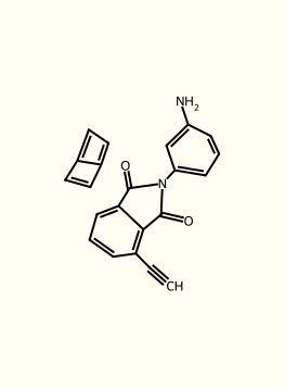 C#Cc1cccc2c1C(=O)N(c1cccc(N)c1)C2=O.c1cc2ccc1-2